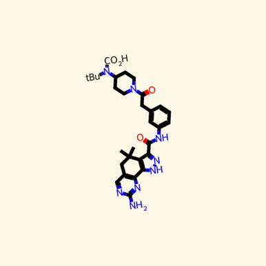 CC1(C)Cc2cnc(N)nc2-c2[nH]nc(C(=O)Nc3cccc(CC(=O)N4CCC(N(C(=O)O)C(C)(C)C)CC4)c3)c21